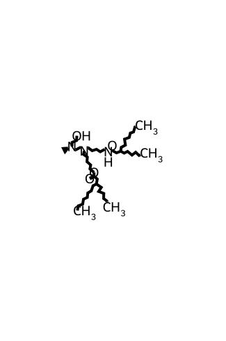 CCCCCCCCC(CCCCCC)CC(=O)NCCCCCN(CCCCCOC(=O)CC(CCCCCC)CCCCCCCC)CCN(CCO)C1CC1